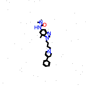 Cc1cc(NC(=O)N(C)C)cc2ncn(CCCCN3CC=C(c4ccccc4)CC3)c12